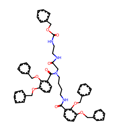 O=C(CN(CCCCNC(=O)c1cccc(OCc2ccccc2)c1OCc1ccccc1)C(=O)c1cccc(OCc2ccccc2)c1OCc1ccccc1)NCCNC(=O)OCc1ccccc1